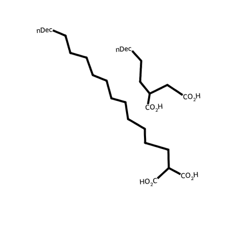 CCCCCCCCCCCCC(CC(=O)O)C(=O)O.CCCCCCCCCCCCCCCCCCCCCC(C(=O)O)C(=O)O